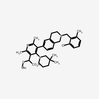 Cc1cccc(Cl)c1CN1CCc2cc(-c3c(C)nc(C)c(C(OC(C)(C)C)C(=O)O)c3N3CCCC(C)(C)C3)ccc2C1